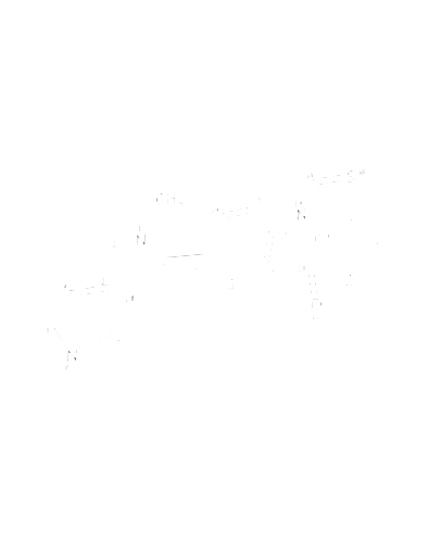 CN(Cc1ccncc1)Cc1ccc(N(C=S)C2(C=O)CCC2)cc1